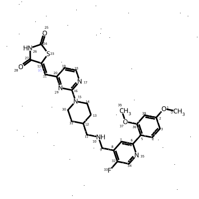 COc1ccc(-c2cc(CNCC3CCN(c4nccc(/C=C5\SC(=O)NC5=O)n4)CC3)c(F)cn2)c(OC)c1